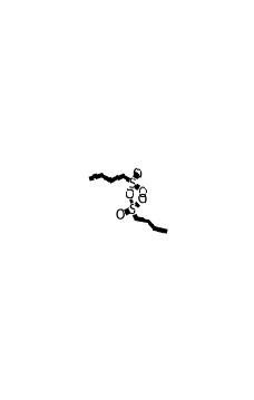 CCCCS(=O)(=O)OS(=O)(=O)CCCC